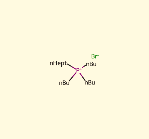 CCCCCCC[P+](CCCC)(CCCC)CCCC.[Br-]